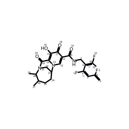 C=C(F)/C=C(F)\C(CNC(=O)c1cn2c(c(O)c1=O)C(=O)N1CC2CCC(C)C1C)=C(/C)F